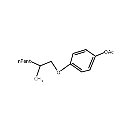 CCCCCC(C)COc1ccc(OC(C)=O)cc1